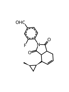 C[C@@H]1C[C@@H]1C1C=CCC2C(=O)N(c3ccc(C=O)cc3F)C(=O)C21